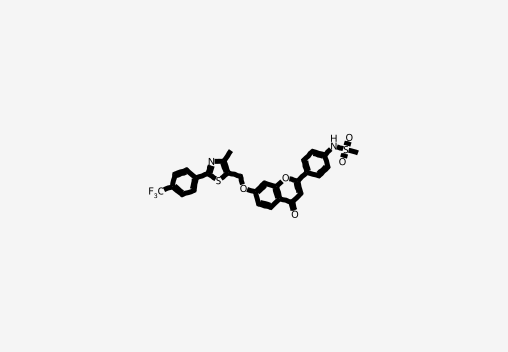 Cc1nc(-c2ccc(C(F)(F)F)cc2)sc1COc1ccc2c(=O)cc(-c3ccc(NS(C)(=O)=O)cc3)oc2c1